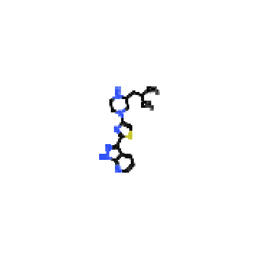 CC(C)CC1CN(c2csc(-c3n[nH]c4ncccc34)n2)CCN1